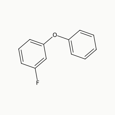 Fc1cccc(Oc2ccccc2)c1